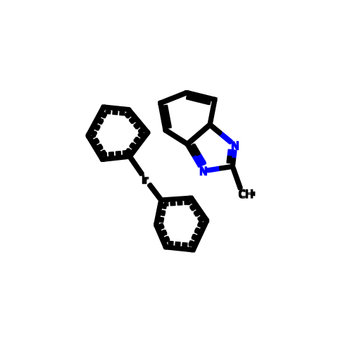 [CH]C1=NC2C=CC=CC2=N1.c1cc[c]([Ir][c]2ccccc2)cc1